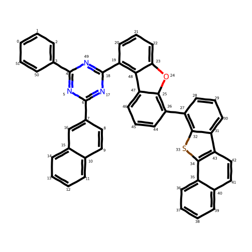 c1ccc(-c2nc(-c3ccc4ccccc4c3)nc(-c3cccc4oc5c(-c6cccc7c6sc6c8ccccc8ccc76)cccc5c34)n2)cc1